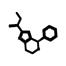 CCC(=O)c1cc2n(n1)CCO[C@@H]2c1ccccc1